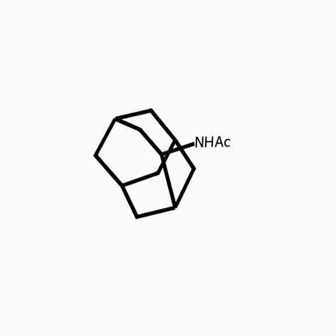 CC(=O)NC1CC2CC3CC(C2)CC1C3